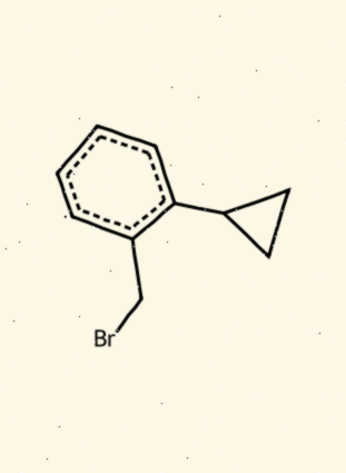 BrCc1[c]cccc1C1CC1